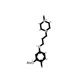 COc1cc(OCCCN2CCN(C)CC2)ccc1C